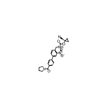 N#CC1(OC(=O)NCc2ccc(-c3ccc(C(=O)N4CCCC4)cc3)cc2[N+](=O)[O-])CC1